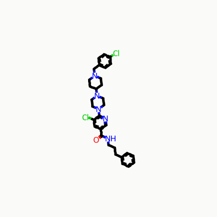 O=C(NCCCc1ccccc1)c1cnc(N2CCN(C3CCN(Cc4ccc(Cl)cc4)CC3)CC2)c(Cl)c1